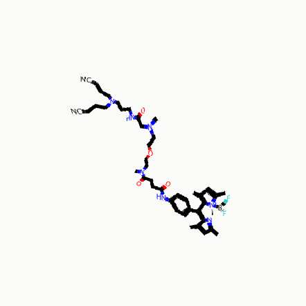 CC1=CC(C)=N/C1=C(\C1=C(C)C=C(C)[N@@+]1(C)B(F)F)c1ccc(NC(=O)CCC(=O)N(C)CCOCCN(C)CC(=O)NCCCN(CCCC#N)CCCC#N)cc1